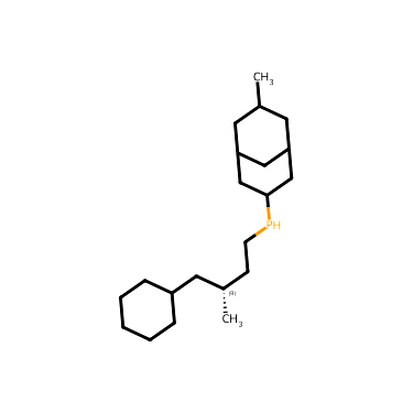 CC1CC2CC(C1)CC(PCC[C@H](C)CC1CCCCC1)C2